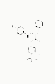 O=C(NC(Cc1ccccc1)C(=O)Nc1ccc(S(=O)(=O)Cl)c(F)c1)c1ccc(F)cc1